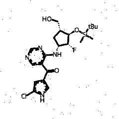 CC(C)(C)[Si](C)(C)O[C@@H]1[C@@H](CO)C[C@@H](Nc2ncncc2C(=O)c2c[nH]c(Cl)c2)[C@H]1F